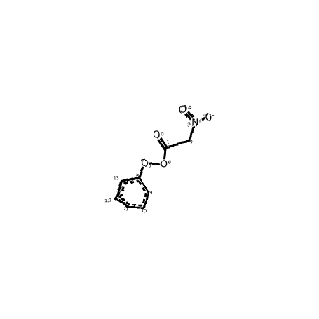 O=C(C[N+](=O)[O-])OOc1ccccc1